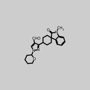 CN1C(=O)C2(CCC(c3nn(C4CCCCO4)cc3C=O)CC2)c2ccccc21